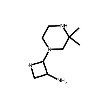 CC1(C)CN(C2[N]CC2N)CCN1